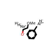 COCC[O-].Cc1ccccc1.[Al+3].[H-].[H-].[H-].[Na+]